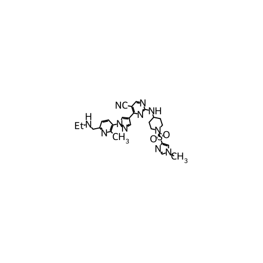 CCNCc1ccc(-n2cc(-c3nc(NC4CCN(S(=O)(=O)c5cn(C)cn5)CC4)ncc3C#N)cn2)c(C)n1